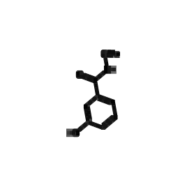 CONC(=O)c1cccc(O)c1